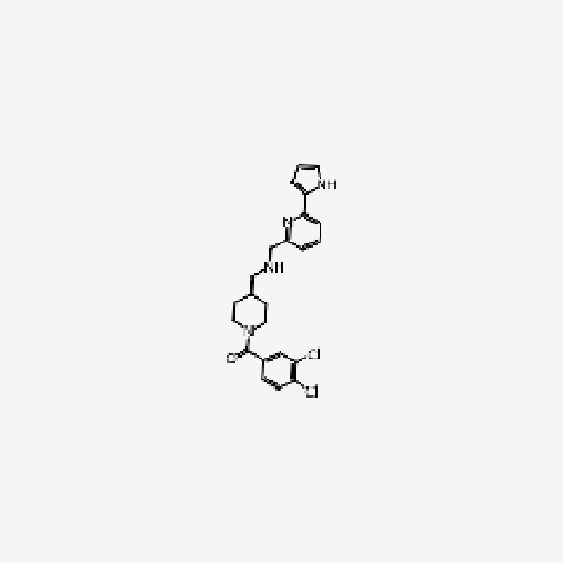 O=C(c1ccc(Cl)c(Cl)c1)N1CCC(CNCc2cccc(-c3ccc[nH]3)n2)CC1